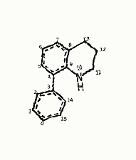 c1ccc(-c2cccc3c2NCCC3)cc1